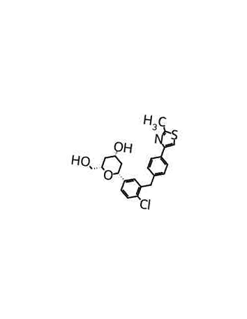 Cc1nc(-c2ccc(Cc3cc([C@H]4C[C@@H](O)C[C@@H](CO)O4)ccc3Cl)cc2)cs1